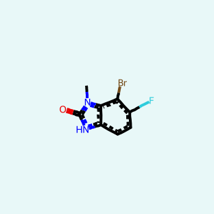 Cn1c(=O)[nH]c2ccc(F)c(Br)c21